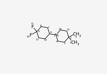 CC1(C)CCN(C2CCC(F)(F)CC2)CC1